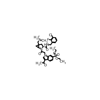 CCOP(=O)(OCC)c1ccc2c(C(C)=O)cn(CC(=O)N3C4CC4(CN(C)C)C[C@H]3C(=O)NCc3cccc(Cl)c3F)c2c1